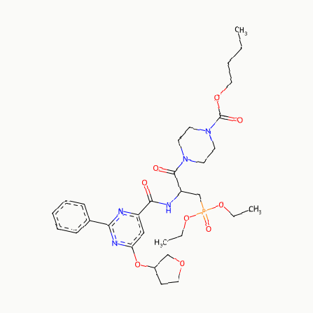 CCCCOC(=O)N1CCN(C(=O)C(CP(=O)(OCC)OCC)NC(=O)c2cc(OC3CCOC3)nc(-c3ccccc3)n2)CC1